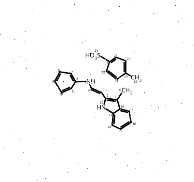 Cc1c(/C=C/Nc2ccccc2)[nH]c2ccccc12.Cc1ccc(S(=O)(=O)O)cc1